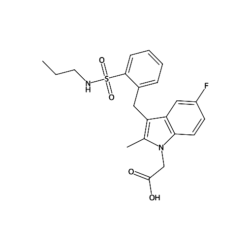 CCCNS(=O)(=O)c1ccccc1Cc1c(C)n(CC(=O)O)c2ccc(F)cc12